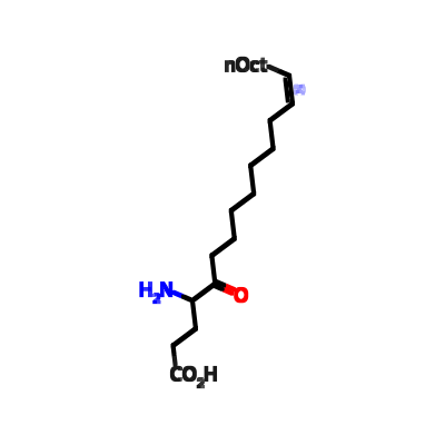 CCCCCCCC/C=C\CCCCCCCC(=O)C(N)CCC(=O)O